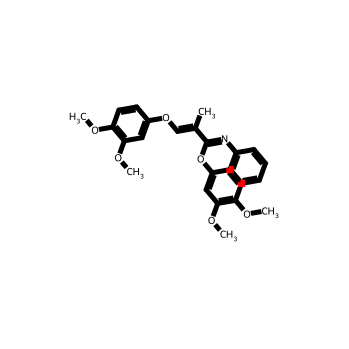 COc1ccc(O/C=C(C)/C(=N/c2ccccc2)Oc2ccc(OC)c(OC)c2)cc1OC